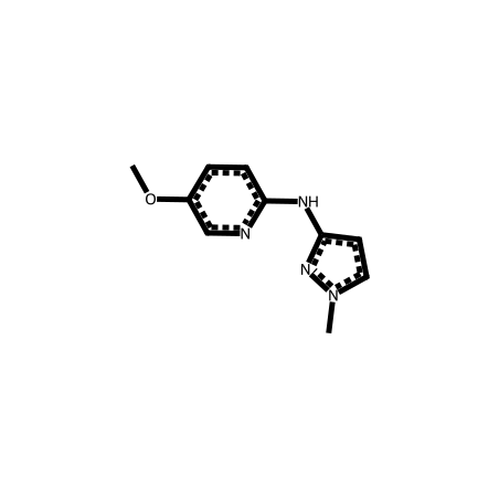 COc1ccc(Nc2ccn(C)n2)nc1